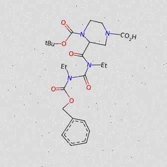 CCN(C(=O)OCc1ccccc1)C(=O)N(CC)C(=O)C1CN(C(=O)O)CCN1C(=O)OC(C)(C)C